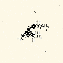 CC(=O)Nc1ccc(-c2cnc(-c3ccc(NC(=S)NC(C)C)cc3)s2)c(S(=O)(=O)NC(CO)C(C)C)c1